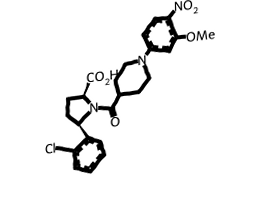 COc1cc(N2CCC(C(=O)N3[C@@H](c4ccccc4Cl)CC[C@H]3C(=O)O)CC2)ccc1[N+](=O)[O-]